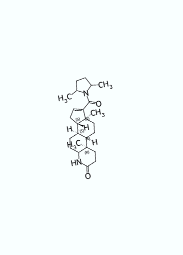 CC1CCC(C)N1C(=O)C1=CC[C@H]2[C@@H]3CCC4NC(=O)CC[C@]4(C)[C@@H]3CC[C@]12C